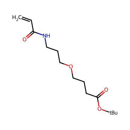 C=CC(=O)NCCCOCCCC(=O)OC(C)(C)C